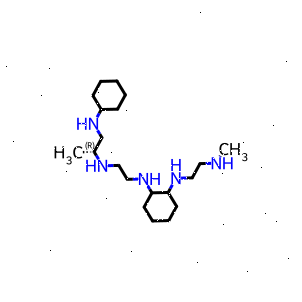 CNCCNC1CCCCC1NCCN[C@H](C)CNC1CCCCC1